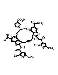 CCn1nc(C)cc1C(=O)Nc1nc2cc(C(N)=O)cc3c2n1C/C=C/Cn1c(NC(=O)c2cc(C)nn2CC)nc2cc(C(N)=O)cc(c21)OCC(N1CCC(C(=O)O)C1)CO3